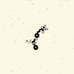 Cc1sc(-c2ccccc2)nc1COc1ccc(CCCC2OC(=O)NC2=O)cc1